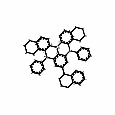 c1ccc(N2c3cc(C4CCCc5ccccc54)cc4c3B(c3ccc5c(c32)CCCC5)c2ccc3c(c2N4c2ccccc2)CCCC3)cc1